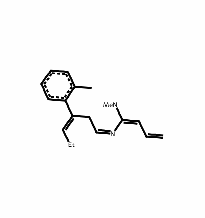 C=C/C=C(\N=C/C/C(=C\CC)c1ccccc1C)NC